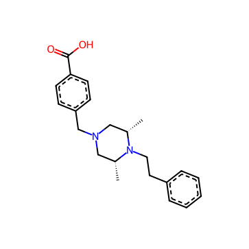 C[C@@H]1CN(Cc2ccc(C(=O)O)cc2)C[C@H](C)N1CCc1ccccc1